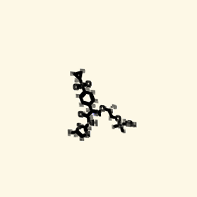 C[C@H](CO[Si](C)(C)C(C)(C)C)O/N=C(/C(=O)Nc1ncc(F)s1)c1ccc(S(=O)(=O)C2CC2)cc1